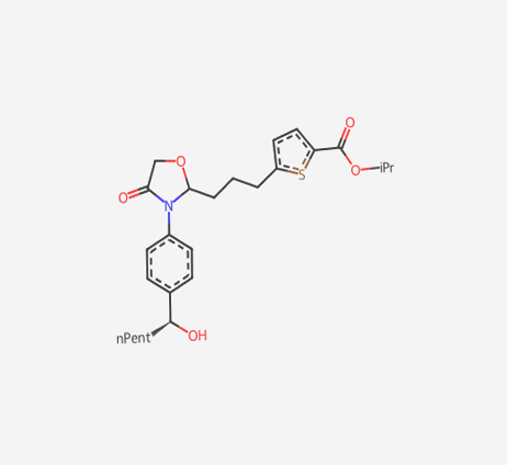 CCCCC[C@H](O)c1ccc(N2C(=O)COC2CCCc2ccc(C(=O)OC(C)C)s2)cc1